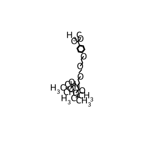 COC(=O)c1ccc(OCCOCCOCCN(C(=O)OC(C)(C)C)C(=O)OC(C)(C)C)cc1